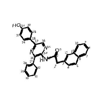 O=C(Cc1ccc2ccccc2c1)Nc1ncc(-c2ccc(O)cc2)nc1-c1ccccc1